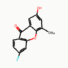 COc1cc(O)cc2c(=O)c3ccc(F)cc3oc12